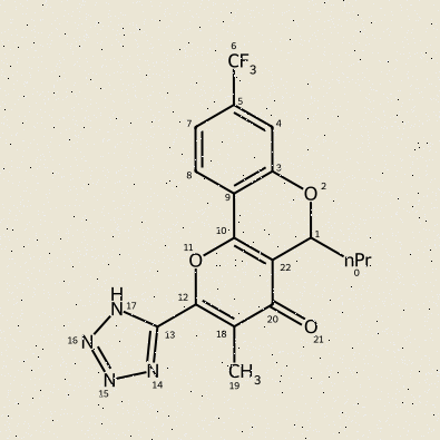 CCCC1Oc2cc(C(F)(F)F)ccc2-c2oc(-c3nnn[nH]3)c(C)c(=O)c21